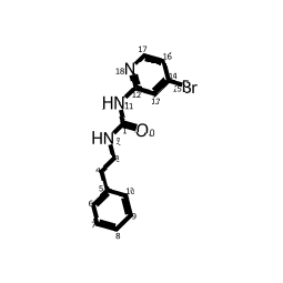 O=C(NCCc1ccccc1)Nc1cc(Br)ccn1